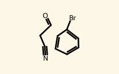 Brc1ccccc1.N#CCC=O